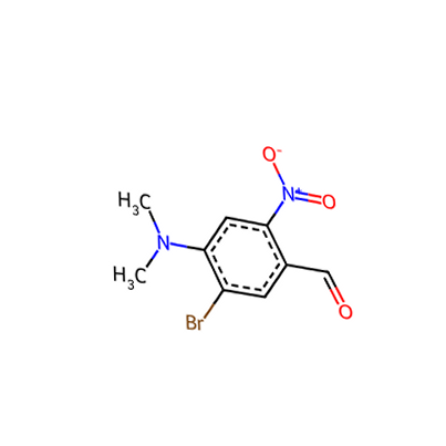 CN(C)c1cc([N+](=O)[O-])c(C=O)cc1Br